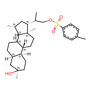 Cc1ccc(S(=O)(=O)OCC(C)[C@H]2C[C@@H](C)[C@H]3[C@@H]4CC[C@@H]5C[C@](C)(O)CC[C@@H]5[C@H]4CC[C@@]32C)cc1